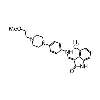 COCCN1CCN(c2ccc(N/C=C3/C(=O)Nc4cccc(C)c43)cc2)CC1